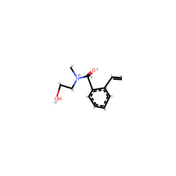 C=Cc1ccccc1C(=O)N(C)CCO